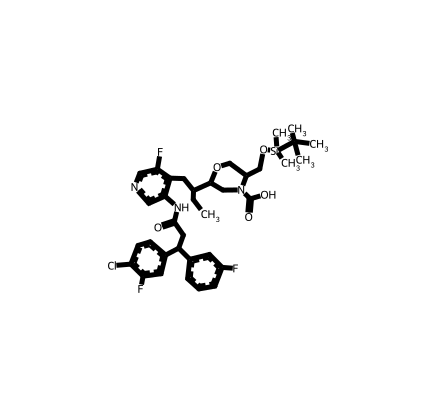 CCC(Cc1c(F)cncc1NC(=O)CC(c1cccc(F)c1)c1ccc(Cl)c(F)c1)C1CN(C(=O)O)C(CO[Si](C)(C)C(C)(C)C)CO1